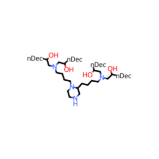 CCCCCCCCCCC(O)CN(CCCCC1CNCCN1CCCCN(CC(O)CCCCCCCCCC)CC(O)CCCCCCCCCC)CC(O)CCCCCCCCCC